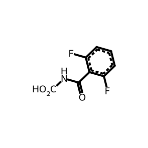 O=C(O)NC(=O)c1c(F)cccc1F